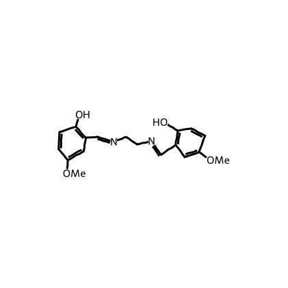 COc1ccc(O)c(C=NCCN=Cc2cc(OC)ccc2O)c1